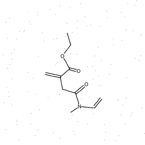 C=CN(C)C(=O)CC(=C)C(=O)OCC